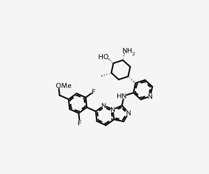 COCc1cc(F)c(-c2ccc3cnc(Nc4cnccc4[C@H]4C[C@@H](N)[C@@H](O)[C@@H](C)C4)n3n2)c(F)c1